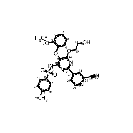 COc1ccccc1Oc1c(NS(=O)(=O)c2ccc(C)cc2)nc(-c2ccnc(C#N)c2)nc1OCCO